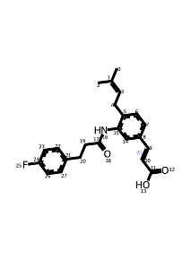 CC(C)=CCc1ccc(/C=C/C(=O)O)cc1NC(=O)CCc1ccc(F)cc1